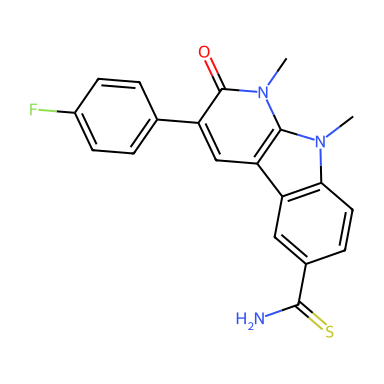 Cn1c(=O)c(-c2ccc(F)cc2)cc2c3cc(C(N)=S)ccc3n(C)c21